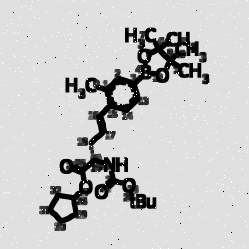 Cc1cc(B2OC(C)(C)C(C)(C)O2)ccc1C=CC[C@H](NC(=O)OC(C)(C)C)C(=O)OC1CCCC1